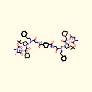 C[C@@H](C(=O)N[C@H](C(=O)N1CCC[C@H]1CN(CCc1ccccc1)C(=O)CNC(=O)c1ccc(C(=O)NCC(=O)N(CCc2ccccc2)C[C@@H]2CCCN2C(=O)[C@@H](NC(=O)[C@H](C)N(C)C(=O)OC(C)(C)C)C2CCCCC2)cc1)C1CCCCC1)N(C)C(=O)OC(C)(C)C